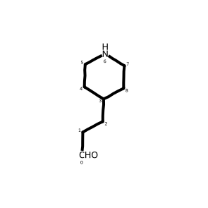 O=CCCC1CCNCC1